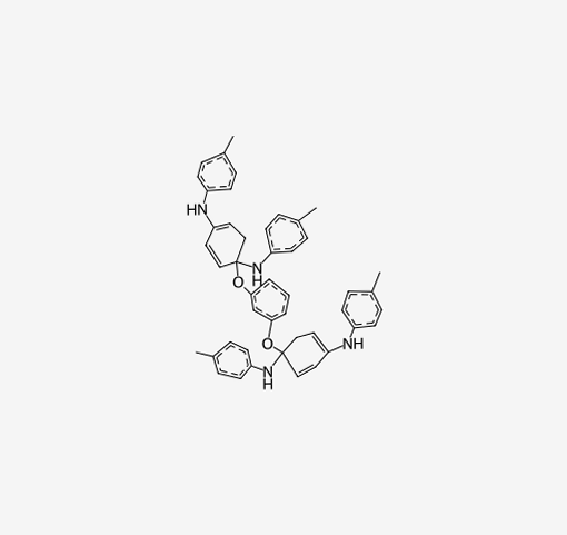 Cc1ccc(NC2=CCC(Nc3ccc(C)cc3)(Oc3cccc(OC4(Nc5ccc(C)cc5)C=CC(Nc5ccc(C)cc5)=CC4)c3)C=C2)cc1